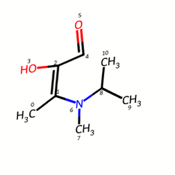 C/C(=C(\O)C=O)N(C)C(C)C